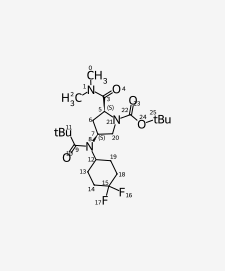 CN(C)C(=O)[C@@H]1C[C@H](N(C(=O)C(C)(C)C)C2CCC(F)(F)CC2)CN1C(=O)OC(C)(C)C